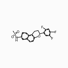 CS(=O)(=O)Nc1ccc2c3c(ccc2c1)OC(c1cc(F)c(F)cc1F)CC3